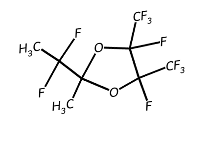 CC(F)(F)C1(C)OC(F)(C(F)(F)F)C(F)(C(F)(F)F)O1